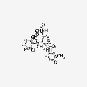 CB(O)N(BC=O)c1nnc(C(=O)Nc2ccc(=O)n(C)c2)cc1OC(C)c1c(Cl)ccc(F)c1Cl